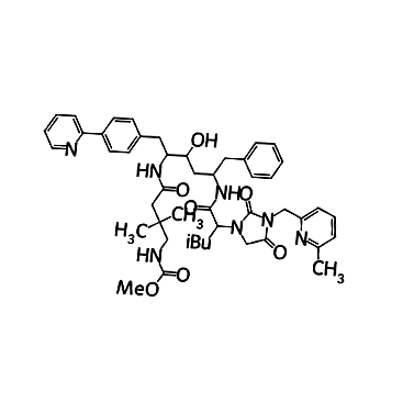 CCC(C)C(C(=O)NC(Cc1ccccc1)CC(O)C(Cc1ccc(-c2ccccn2)cc1)NC(=O)CC(C)(C)CNC(=O)OC)N1CC(=O)N(Cc2cccc(C)n2)C1=O